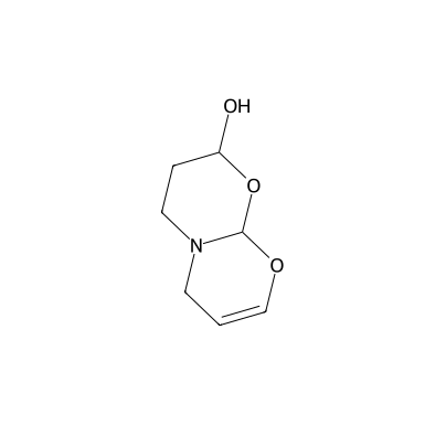 OC1CCN2CC=COC2O1